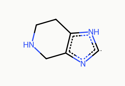 [c]1nc2c([nH]1)CCNC2